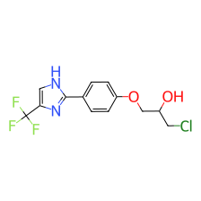 OC(CCl)COc1ccc(-c2nc(C(F)(F)F)c[nH]2)cc1